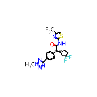 Cn1nnc(-c2ccc([C@@H](C(=O)Nc3nc(C(F)(F)F)cs3)[C@H]3CCC(F)(F)C3)cc2)n1